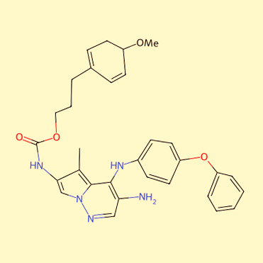 COC1C=CC(CCCOC(=O)Nc2cn3ncc(N)c(Nc4ccc(Oc5ccccc5)cc4)c3c2C)=CC1